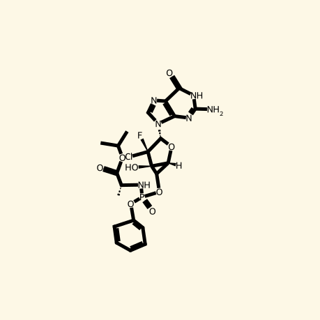 CC(C)OC(=O)[C@@H](C)NP(=O)(Oc1ccccc1)OC1[C@H]2O[C@@H](n3cnc4c(=O)[nH]c(N)nc43)[C@@](F)(Cl)[C@@]12O